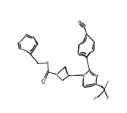 N#Cc1ccc(-c2nc(C(F)(F)F)cn2C2CN(C(=O)OCc3ccccc3)C2)cc1